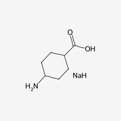 NC1CCC(C(=O)O)CC1.[NaH]